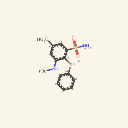 CCCCNc1cc(C(=O)O)cc(S(N)(=O)=O)c1Sc1ccccc1